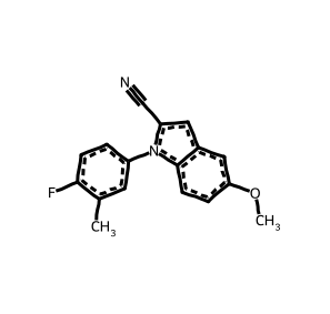 COc1ccc2c(c1)cc(C#N)n2-c1ccc(F)c(C)c1